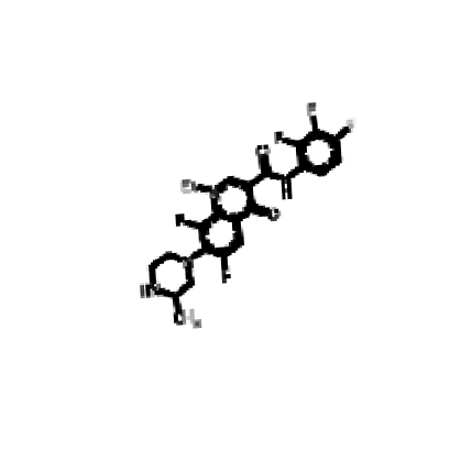 CCn1cc(C(=O)Nc2ccc(F)c(F)c2F)c(=O)c2cc(F)c(N3CCNC(C)C3)c(F)c21